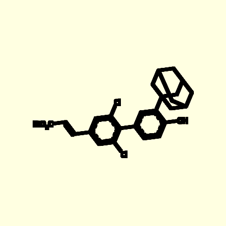 CCOC(=O)C=Cc1cc(Cl)c(-c2ccc(O)c(C34CC5CC(CC(C5)C3)C4)c2)c(Cl)c1